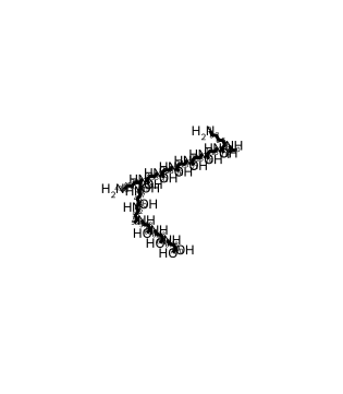 CC(I)NC(CCCCN)C(O)NCCC(O)NCCC(O)NCCC(O)NCCC(O)NCCC(O)NC(CCCCN)C(O)NCCC(O)NCCC(C)NCCC(O)NCCC(O)NCCC(O)O